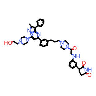 Cc1nn2c(N3CCN(CCO)CC3)cc(-c3cccc(CCCN4CCN(C(=O)CNc5cccc(C6CCC(=O)NC6=O)c5)CC4)c3)nc2c1-c1ccccc1